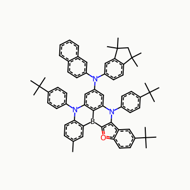 Cc1ccc2c(c1)B1c3oc4ccc(C(C)(C)C)cc4c3N(c3ccc(C(C)(C)C)cc3)c3cc(N(c4ccc5c(c4)C(C)(C)CC5(C)C)c4ccc5ccccc5c4)cc(c31)N2c1ccc(C(C)(C)C)cc1